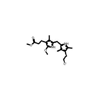 COC(=O)CCc1c(OC)[nH]c(Cc2[nH]c(C)c(CCCl)c2C)c1C